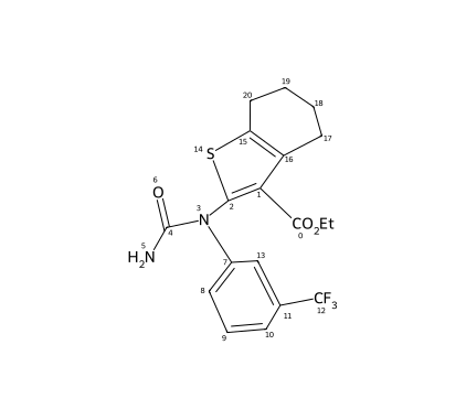 CCOC(=O)c1c(N(C(N)=O)c2cccc(C(F)(F)F)c2)sc2c1CCCC2